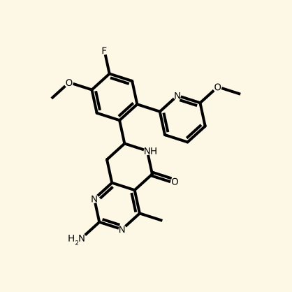 COc1cccc(-c2cc(F)c(OC)cc2C2Cc3nc(N)nc(C)c3C(=O)N2)n1